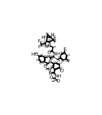 Cn1nc(NS(C)(=O)=O)c2c(Cl)ccc(-n3c([C@H](Cc4cc(F)cc(F)c4)NC(=O)Cn4nc(C(F)F)c5c4C(F)(F)[C@@H]4C[C@H]54)nc4cc(O)ccc4c3=O)c21